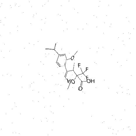 CCC=C(c1ccc(C(C)C)cc1OC)C(C)C(O)(C(=O)O)C(F)(F)F